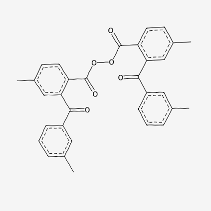 Cc1cccc(C(=O)c2cc(C)ccc2C(=O)OOC(=O)c2ccc(C)cc2C(=O)c2cccc(C)c2)c1